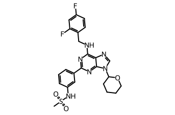 CS(=O)(=O)Nc1cccc(-c2nc(NCc3ccc(F)cc3F)c3ncn(C4CCCCO4)c3n2)c1